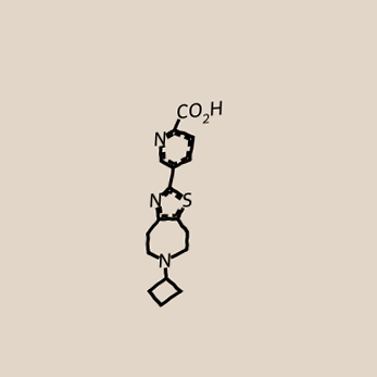 O=C(O)c1ccc(-c2nc3c(s2)CCN(C2CCC2)CC3)cn1